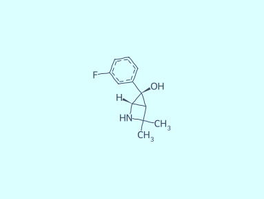 CC1(C)N[C@H]2C1[C@@]2(O)c1cccc(F)c1